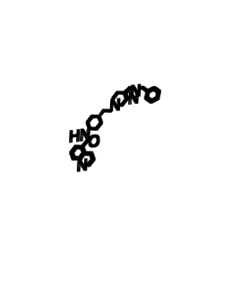 O=C(N[C@H]1CC[C@H](CCN2CCc3cn(Cc4ccccc4)nc3C2)CC1)c1cccc2ncccc12